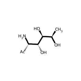 CC(=O)[C@H](N)[C@@H](O)[C@@H](O)[C@@H](C)O